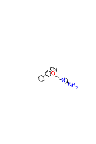 N#CC1(OCCCN2CC[C@@H](N)C2)C=CC(c2ccccc2)=CC1